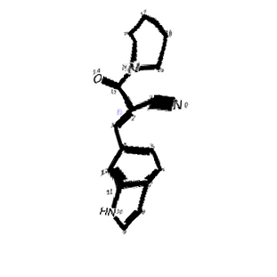 N#C/C(=C\c1ccc2cc[nH]c2c1)C(=O)N1CCCC1